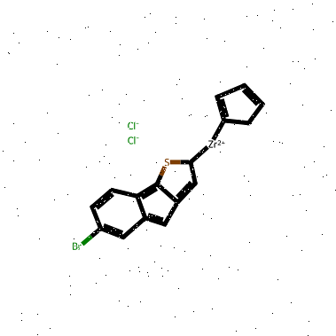 Brc1ccc2c(c1)=CC1=C[CH]([Zr+2][C]3=CC=CC3)SC=21.[Cl-].[Cl-]